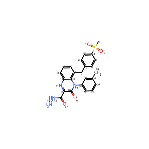 CS(=O)(=O)c1ccc(Cc2cccc3nc(C(=O)NN)c(=O)n(-c4cccc(C(F)(F)F)c4)c23)cc1